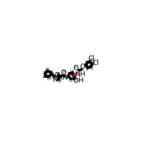 O=C(COc1ccc(Cl)c(Cl)c1)NC12CCC(NC(=O)c3cnc(-c4ccccc4)o3)(CC1)CC2O